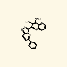 CNc1c(O)c(-c2nnc3ccc(-c4ccccc4)nn23)nc2cccnc12